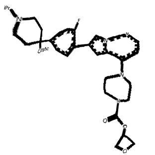 COC1(c2ccc(-c3cc4c(N5CCN(C(=O)OC6COC6)CC5)ccnn4c3)c(F)c2)CCN(C(C)C)CC1